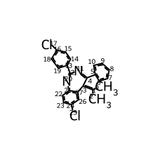 CC(C)=C1C(c2ccccc2)=NC(c2ccc(Cl)cc2)=Nc2ccc(Cl)cc21